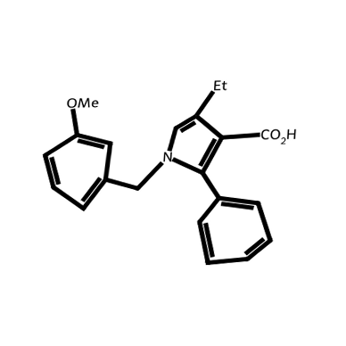 CCc1cn(Cc2cccc(OC)c2)c(-c2ccccc2)c1C(=O)O